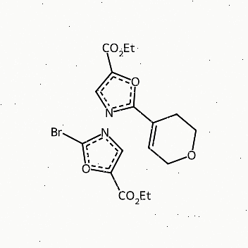 CCOC(=O)c1cnc(Br)o1.CCOC(=O)c1cnc(C2=CCOCC2)o1